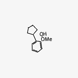 COO.c1ccc(C2CCCC2)cc1